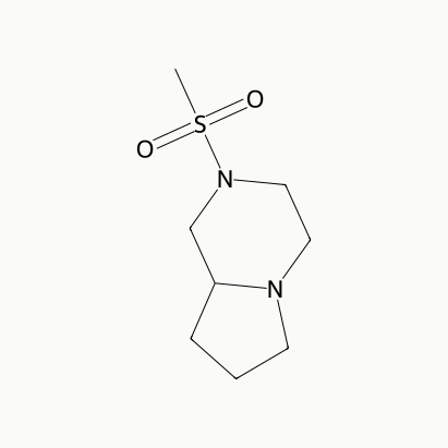 CS(=O)(=O)N1CCN2CCCC2C1